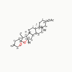 CC(=O)O[C@@H]1CC[C@]2(C)C3CC[C@@]4(C)C(C[C@@H]5OC6(CCC(C)CO6)C(C)C54)C3CC[C@@H]2C1